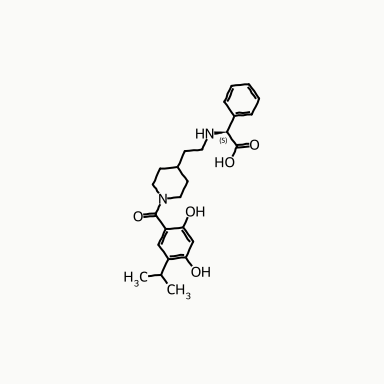 CC(C)c1cc(C(=O)N2CCC(CCN[C@H](C(=O)O)c3ccccc3)CC2)c(O)cc1O